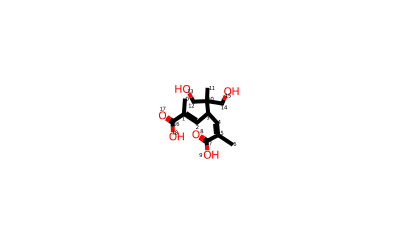 CC(=CC(C=C(C)C(=O)O)C(C)(CO)CO)C(=O)O